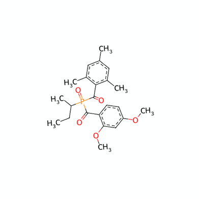 CCC(C)P(=O)(C(=O)c1ccc(OC)cc1OC)C(=O)c1c(C)cc(C)cc1C